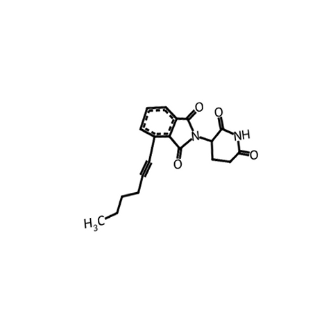 CCCCC#Cc1cccc2c1C(=O)N(C1CCC(=O)NC1=O)C2=O